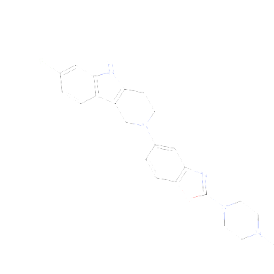 CN1CCN(c2nc3cc(N4CCc5[nH]c6cc(F)ccc6c5C4)ccc3o2)CC1